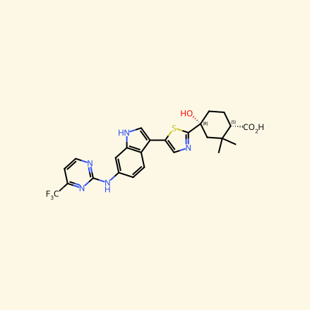 CC1(C)C[C@@](O)(c2ncc(-c3c[nH]c4cc(Nc5nccc(C(F)(F)F)n5)ccc34)s2)CC[C@@H]1C(=O)O